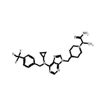 CC(C(N)=O)N1CCC(Cn2cnc3c(N(Cc4ccc(C(F)(F)F)cc4)C4CC4)ncnc32)CC1